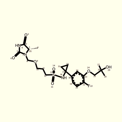 C[C@H]1C(=O)NC(=O)N1COCCCS(=O)(=O)NC1(c2ccc(F)c(OCC(C)(C)O)c2)CC1